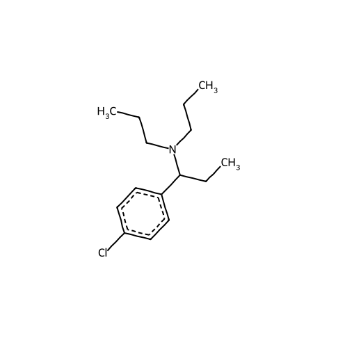 CCCN(CCC)C(CC)c1ccc(Cl)cc1